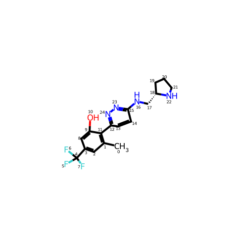 Cc1cc(C(F)(F)F)cc(O)c1-c1ccc(NC[C@@H]2CCCN2)nn1